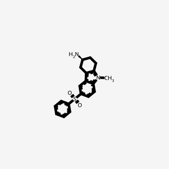 Cn1c2c(c3cc(S(=O)(=O)c4ccccc4)ccc31)C[C@@H](N)CC2